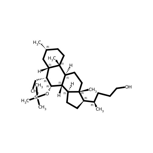 CC[C@H]1[C@@H](O[Si](C)(C)C)[C@@H]2[C@H](CC[C@]3(C)[C@@H]([C@H](C)CCCO)CC[C@@H]23)[C@@]2(C)CC[C@@H](C)C[C@@H]12